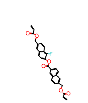 C=CC(=O)OCc1ccc2cc(C(=O)Oc3ccc4cc(COC(=O)C=C)ccc4c3F)ccc2c1